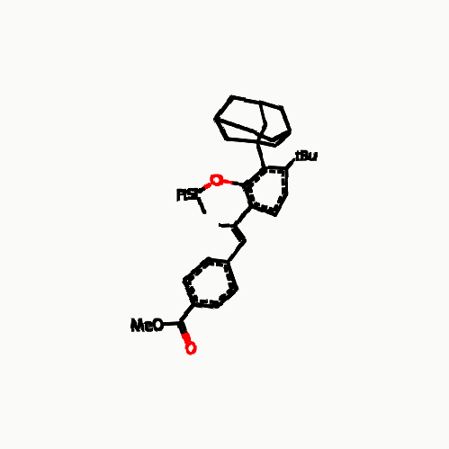 COC(=O)c1ccc(/C=C(\C)c2ccc(C(C)(C)C)c(C34CC5CC(CC(C5)C3)C4)c2O[SiH](C)C)cc1